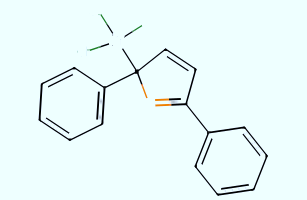 [Cl][Zr]([Cl])([Cl])[C]1(c2ccccc2)C=CC(c2ccccc2)=P1